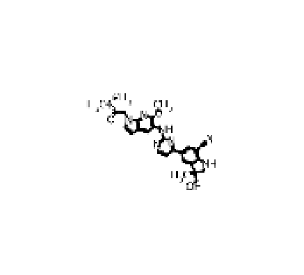 COc1nc2c(ccn2CC(=O)N(C)C)cc1Nc1nccc(-c2cc(C#N)c3c(c2)C(C)(CO)CN3)n1